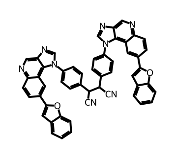 N#CC(c1ccc(-n2cnc3cnc4ccc(-c5cc6ccccc6o5)cc4c32)cc1)C(C#N)c1ccc(-n2cnc3cnc4ccc(-c5cc6ccccc6o5)cc4c32)cc1